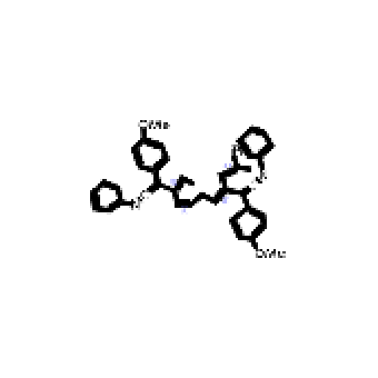 C/C=C(\C=C/C/C=C(\C=C(/C)C(C)C)C(=C=Nc1ccccc1)c1ccc(OC)cc1)C(=C=Nc1ccccc1)c1ccc(OC)cc1